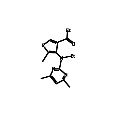 CCC(=O)c1csc(C)c1N(CC)c1nc(C)cc(C)n1